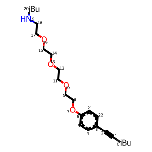 CCC(C)C#Cc1ccc(OCCOCCOCCOCCNC(C)CC)cc1